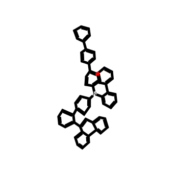 c1ccc(-c2ccc(-c3ccc(N(c4ccc(-c5ccccc5-c5cc6ccccc6c6ccccc56)cc4)c4ccccc4-c4ccccc4)cc3)cc2)cc1